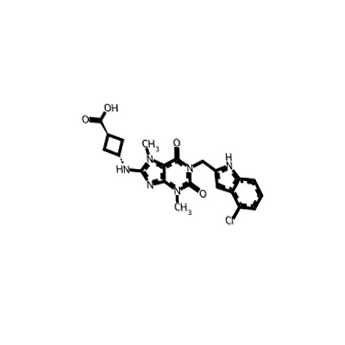 Cn1c(N[C@H]2C[C@H](C(=O)O)C2)nc2c1c(=O)n(Cc1cc3c(Cl)cccc3[nH]1)c(=O)n2C